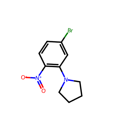 O=[N+]([O-])c1ccc(Br)cc1N1CCCC1